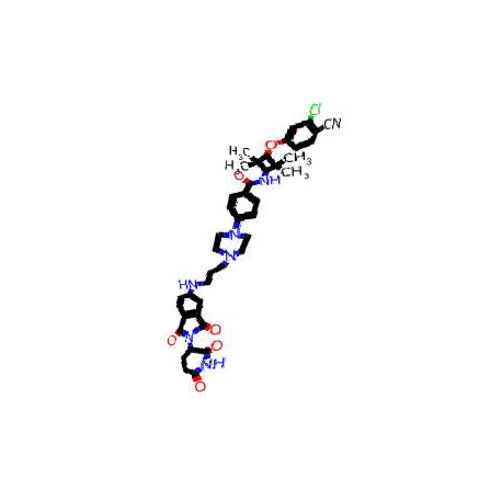 CC1(C)C(NC(=O)c2ccc(N3CCN(CCCNc4ccc5c(c4)C(=O)N(C4CCC(=O)NC4=O)C5=O)CC3)cc2)C(C)(C)C1Oc1ccc(C#N)c(Cl)c1